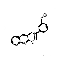 [O]Cc1cccc(NCc2cc3ccccc3nc2Cl)c1